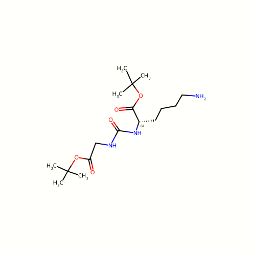 CC(C)(C)OC(=O)CNC(=O)N[C@@H](CCCCN)C(=O)OC(C)(C)C